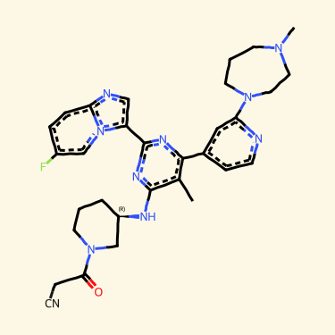 Cc1c(N[C@@H]2CCCN(C(=O)CC#N)C2)nc(-c2cnc3ccc(F)cn23)nc1-c1ccnc(N2CCCN(C)CC2)c1